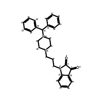 O=C1C(=O)N(CCCN2CCN(C(c3ccccc3)c3ccccc3)CC2)c2ccccc21